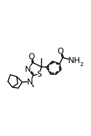 CN(C1=NC(=O)C(C)(c2cccc(C(N)=O)c2)S1)C1CC2CCC1C2